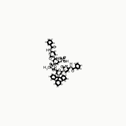 CN(C)P(=O)(OC[C@@H]1CN(C(c2ccccc2)(c2ccccc2)c2ccccc2)C[C@H](n2ccc(NC(=O)c3ccccc3)nc2=O)O1)N1C[C@@H](CP(=O)(O)O)O[C@@H](n2ccc(NC(=O)c3ccccc3)nc2=O)C1